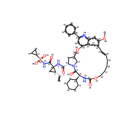 C=C[C@@H]1C[C@]1(NC(=O)[C@@H]1C[C@@H]2CN1C(=O)[C@H](C1CCCCC1)NC(=O)OCCCC/C=C/c1cc3c(cc(-c4ccccc4)nc3cc1OC)O2)C(=O)NS(=O)(=O)C1CC1